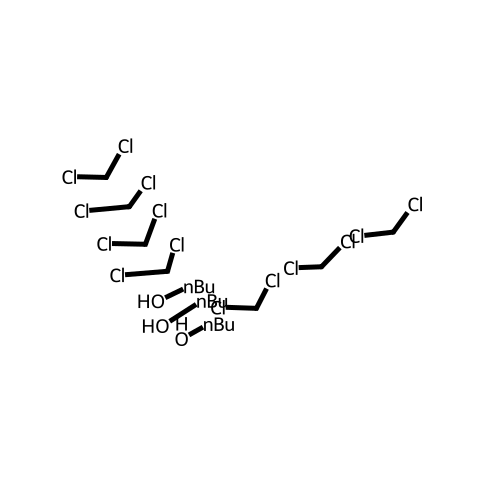 CCCCO.CCCCO.CCCCO.ClCCl.ClCCl.ClCCl.ClCCl.ClCCl.ClCCl.ClCCl